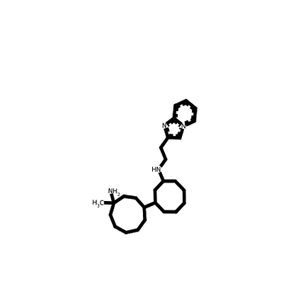 CC1(N)CCCCCC(C2CCCCCC(NCCc3cn4ccccc4n3)C2)CC1